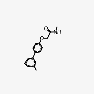 CNC(=O)COc1ccc(-c2cccc(C)c2)cc1